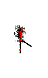 CCCCCCCCCCCCCCCC(O)C(COC1OC(CO)C(OC2OC(CO)C(O)C(OC3(C(=O)O)CC(O)C(NC(C)=O)C(C(O)C(O)CO)O3)C2O)C(O)C1O)NC(=O)CCCCCCCCCCCCC